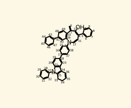 C=C1/C(O)=C(c2ccccc2)\C=C/N(c2ccc(-c3ccc4c(c3)c3c(n4-c4ccccc4)CCC=C3)cc2)c2cc(-c3ccccc3)ccc21